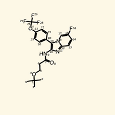 CC(C)(C)OCCC(=O)Nc1nc2ccc(F)cn2c1-c1ccc(OC(F)(F)F)cc1